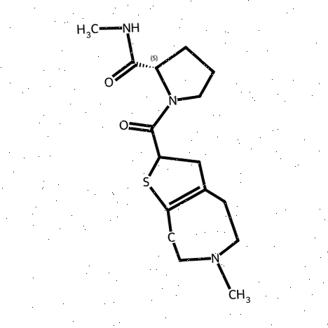 CNC(=O)[C@@H]1CCCN1C(=O)C1CC2=C(CCN(C)CC2)S1